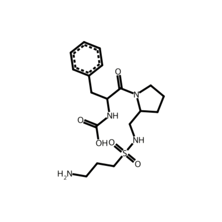 NCCCS(=O)(=O)NCC1CCCN1C(=O)C(Cc1ccccc1)NC(=O)O